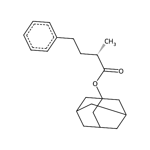 C[C@@H](CCc1ccccc1)C(=O)OC12CC3CC(CC(C3)C1)C2